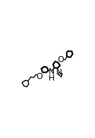 c1ccc(COc2ccc(Nc3cccc(OCCCC4CCCCC4)c3)c(N3CCC3)c2)cc1